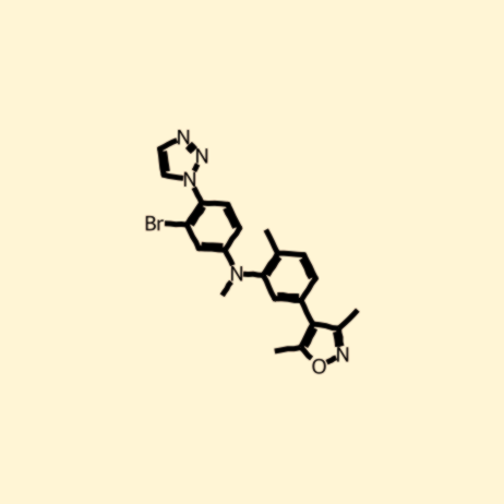 Cc1ccc(-c2c(C)noc2C)cc1N(C)c1ccc(-n2ccnn2)c(Br)c1